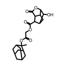 CC1(OC(=O)COC(=O)C2C3CC4C(OC(=O)C42)C3O)C2CC3CC(C2)CC1C3